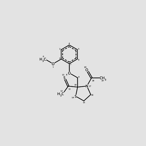 COc1ccccc1OCC1(C(C)=S)SCCN1C(C)=O